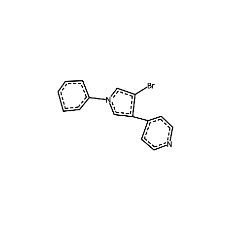 Brc1cn(-c2ccccc2)cc1-c1ccncc1